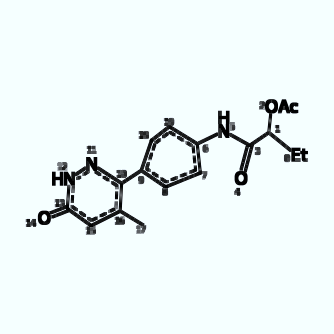 CCC(OC(C)=O)C(=O)Nc1ccc(-c2n[nH]c(=O)cc2C)cc1